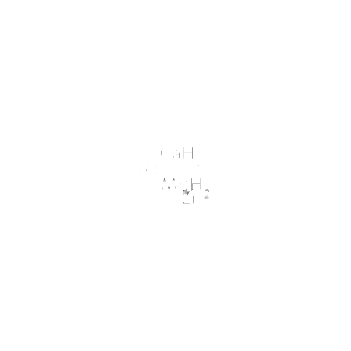 [CaH2].[MgH2].[O-2].[Zn+2]